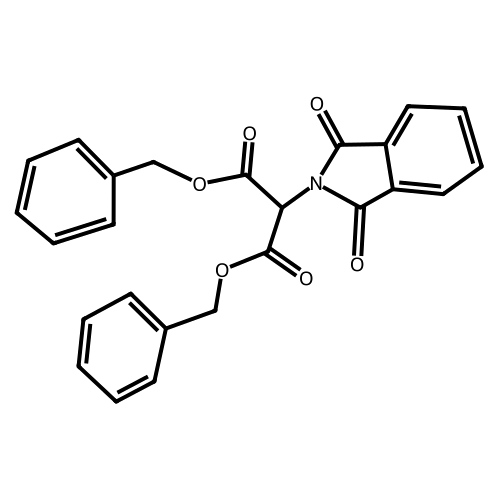 O=C(OCc1ccccc1)C(C(=O)OCc1ccccc1)N1C(=O)c2ccccc2C1=O